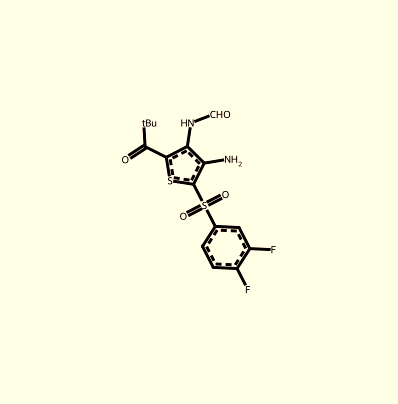 CC(C)(C)C(=O)c1sc(S(=O)(=O)c2ccc(F)c(F)c2)c(N)c1NC=O